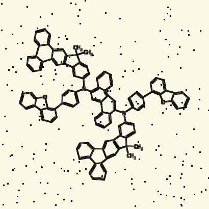 CC1(C)c2ccc(N(c3ccc(-c4cccc5c4oc4ccccc45)cc3)c3cc4c5ccccc5c(N(c5ccc(-c6cccc7c6oc6ccccc67)cc5)c5ccc6c(c5)-c5cc7c8ccccc8c8ccccc8c7cc5C6(C)C)cc4c4ccccc34)cc2-c2cc3c4ccccc4c4ccccc4c3cc21